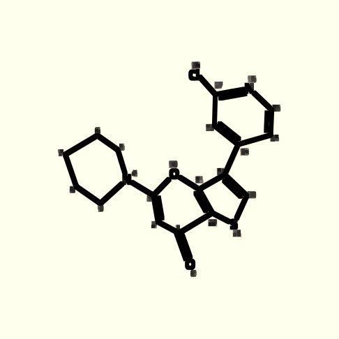 O=c1cc(N2CCCCC2)oc2c(-c3ccnc(Cl)c3)csc12